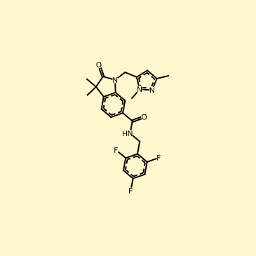 Cc1cc(CN2C(=O)C(C)(C)c3ccc(C(=O)NCc4c(F)cc(F)cc4F)cc32)n(C)n1